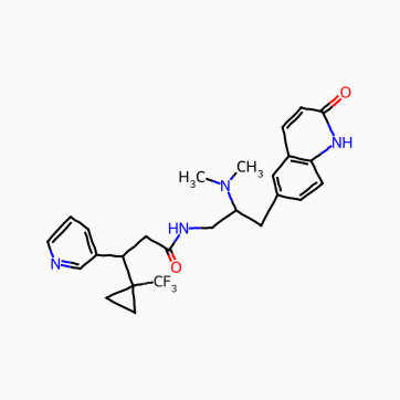 CN(C)C(CNC(=O)CC(c1cccnc1)C1(C(F)(F)F)CC1)Cc1ccc2[nH]c(=O)ccc2c1